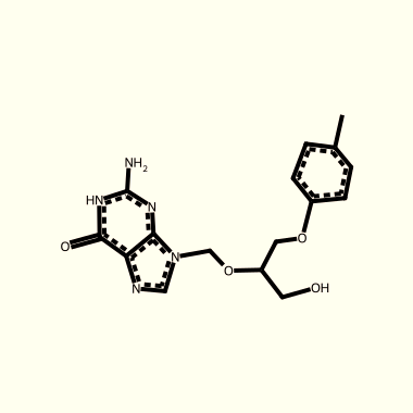 Cc1ccc(OCC(CO)OCn2cnc3c(=O)[nH]c(N)nc32)cc1